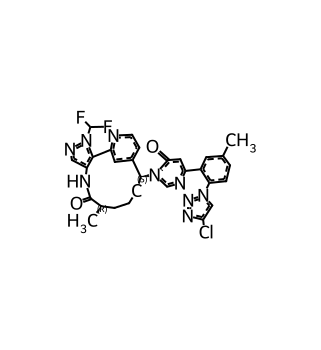 Cc1ccc(-n2cc(Cl)nn2)c(-c2cc(=O)n([C@H]3CCC[C@@H](C)C(=O)Nc4cnn(C(F)F)c4-c4cc3ccn4)cn2)c1